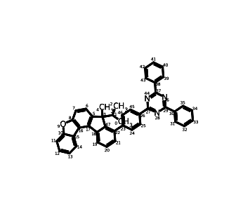 CC(C)C1(C)c2ccc3oc4ccccc4c3c2-c2cccc(-c3ccc(-c4nc(-c5ccccc5)nc(-c5ccccc5)n4)cc3)c21